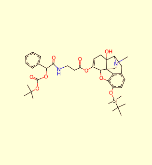 CN1CCC23c4c5ccc(O[Si](C)(C)C(C)(C)C)c4OC2C(OC(=O)CCNC(=O)C(OC(=O)OC(C)(C)C)c2ccccc2)=CCC3(O)C1C5